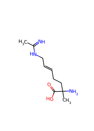 CC(=N)NCC=CCCC(C)(N)C(=O)O